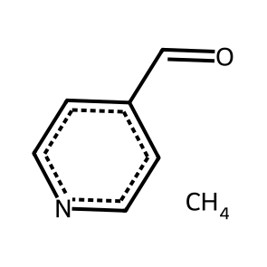 C.O=Cc1ccncc1